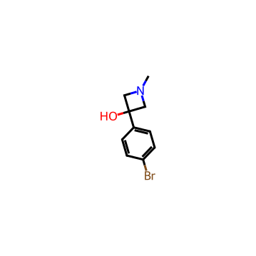 CN1CC(O)(c2ccc(Br)cc2)C1